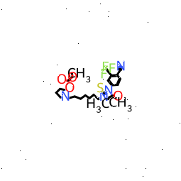 COC(=O)O[C@H]1CCCN1CCCCCCCN1C(=S)N(c2ccc(C#N)c(C(F)(F)F)c2)C(=O)C1(C)C